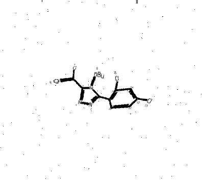 CCCCn1c(C(=O)Cl)nnc1-c1ccc(Cl)cc1Cl